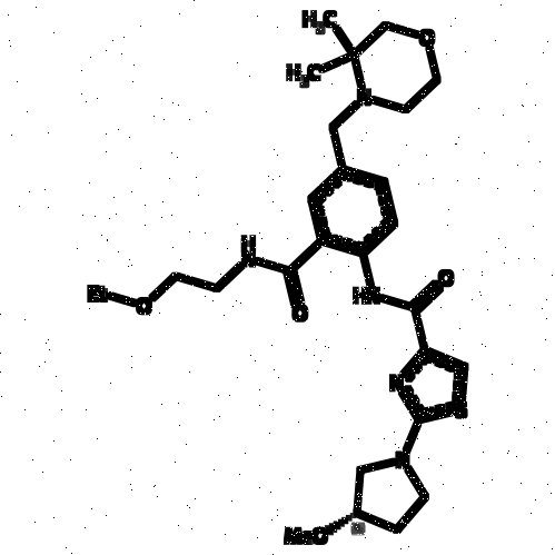 CCOCCNC(=O)c1cc(CN2CCOCC2(C)C)ccc1NC(=O)c1csc(N2CC[C@H](OC)C2)n1